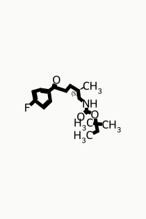 CCC(C)(C)OC(=O)NC[C@@H](C)CCC(=O)c1ccc(F)cc1